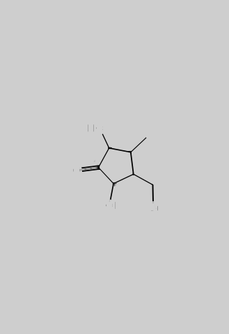 CC1C(O)C(=O)C(O)C1CBr